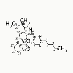 CCCCCc1ccc(OC(=O)C2(c3ccc(CC(C)CC)cc3)CCCCC2)c(C#N)c1